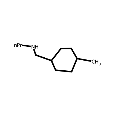 CCCNCC1CCC(C)CC1